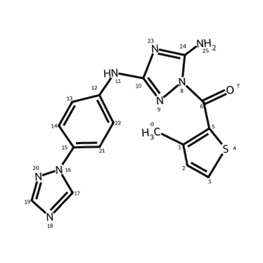 Cc1ccsc1C(=O)n1nc(Nc2ccc(-n3cncn3)cc2)nc1N